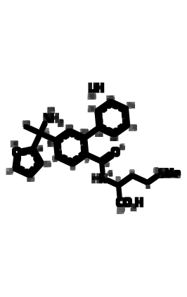 CSCCC(NC(=O)c1ccc(C(C)(N)c2ccco2)cc1-c1ccccc1)C(=O)O.[LiH]